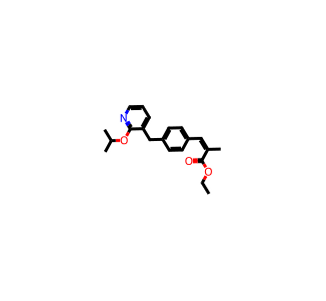 CCOC(=O)C(C)=Cc1ccc(Cc2cccnc2OC(C)C)cc1